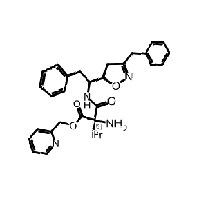 CC(C)[C@](N)(C(=O)NC(Cc1ccccc1)C1CC(Cc2ccccc2)=NO1)C(=O)OCc1ccccn1